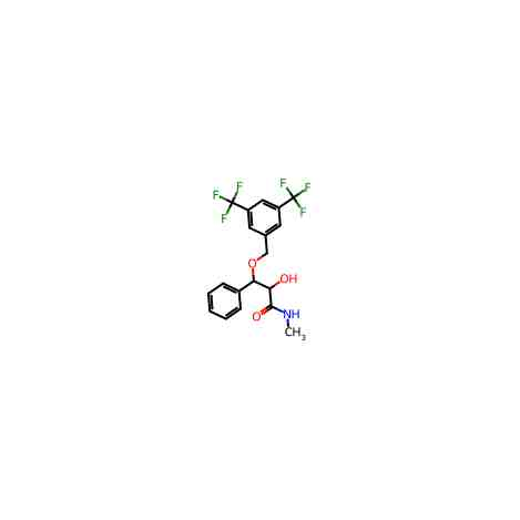 CNC(=O)C(O)C(OCc1cc(C(F)(F)F)cc(C(F)(F)F)c1)c1ccccc1